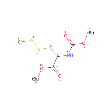 CC(C)(C)OC(=O)N[C@@H](CSSCl)C(=O)OC(C)(C)C